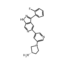 N[C@H]1CCN(c2cncc(-c3cc4c(-c5ccccc5F)n[nH]c4cn3)c2)C1